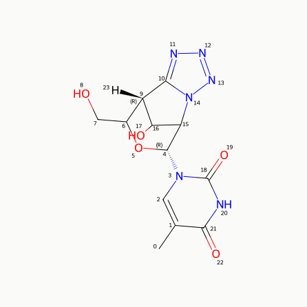 Cc1cn([C@@H]2OC(CO)[C@@H]3c4nnnn4C2C3O)c(=O)[nH]c1=O